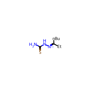 CCCC/C(CC)=N\NC(N)=S